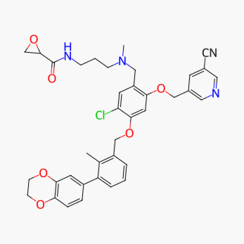 Cc1c(COc2cc(OCc3cncc(C#N)c3)c(CN(C)CCCNC(=O)C3CO3)cc2Cl)cccc1-c1ccc2c(c1)OCCO2